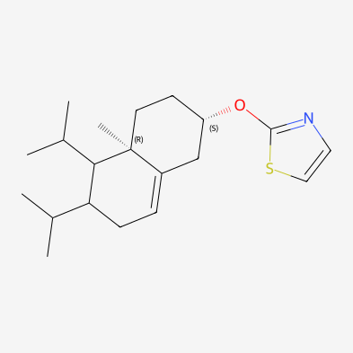 CC(C)C1CC=C2C[C@@H](Oc3nccs3)CC[C@]2(C)C1C(C)C